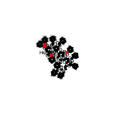 O=C(O[C@@H]1[C@@H](OC(=O)c2ccccc2)[C@H](O[C@H]2[C@H](O)[C@@H](C(=O)O)O[C@@H](O[C@H]3[C@H](OC(=O)c4ccccc4)[C@@H](OC(=O)c4ccccc4)[C@H](OCCN(Cc4ccccc4)C(=O)OCc4ccccc4)O[C@@H]3COCc3ccccc3)[C@@H]2OC(=O)c2ccccc2)O[C@H](COCc2ccccc2)[C@H]1O[C@@H]1O[C@H](C(=O)O)[C@@H](O)[C@H](OC(=O)c2ccccc2)[C@H]1OC(=O)c1ccccc1)c1ccccc1